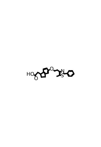 Cc1sc(-c2ccccc2)nc1CCOc1ccc2c(c1)CCC2CC(=O)O